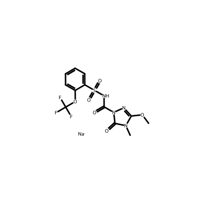 COc1nn(C(=O)NS(=O)(=O)c2ccccc2OC(F)(F)F)c(=O)n1C.[Na]